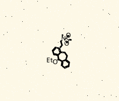 CCOC1c2ccccc2CCc2c(CCN(C)S(C)(=O)=O)cccc21